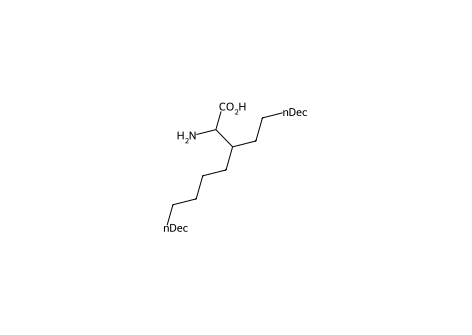 CCCCCCCCCCCCCCC(CCCCCCCCCCCC)C(N)C(=O)O